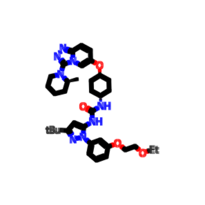 CCOCCOc1cccc(-n2nc(C(C)(C)C)cc2NC(=O)N[C@H]2CC[C@H](Oc3ccc4nnc(N5CCCC[C@@H]5C)n4c3)CC2)c1